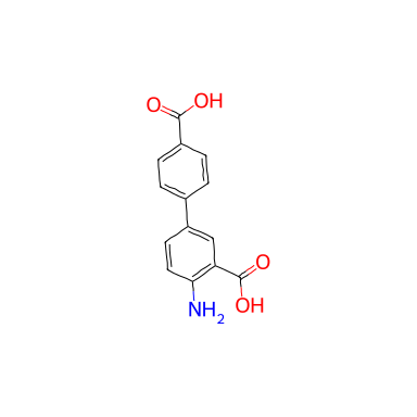 Nc1ccc(-c2ccc(C(=O)O)cc2)cc1C(=O)O